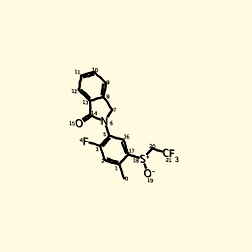 Cc1cc(F)c(N2Cc3ccccc3C2=O)cc1[S+]([O-])CC(F)(F)F